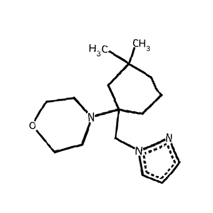 CC1(C)CCCC(Cn2cccn2)(N2CCOCC2)C1